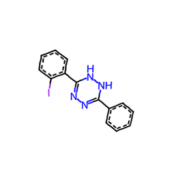 Ic1ccccc1C1=NN=C(c2ccccc2)NN1